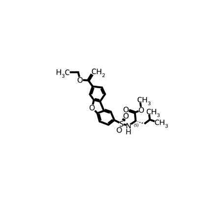 C=C(OCC)c1ccc2c(c1)oc1ccc(S(=O)(=O)N[C@@H](CC(C)C)C(=O)OC)cc12